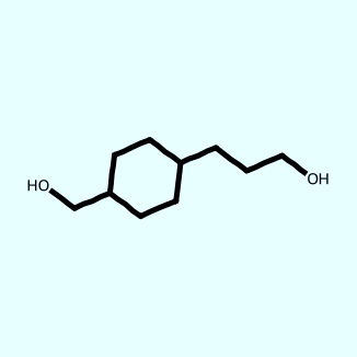 OCCCC1CCC(CO)CC1